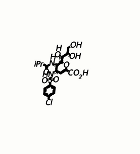 CC(C)C(=O)N[C@H]1[C@H]([C@H](O)[C@H](O)CO)OC(C(=O)O)=C[C@@H]1NS(=O)(=O)c1ccc(Cl)cc1